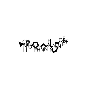 CC1(NC(=O)O[C@@H]2CC[C@H](c3cc(Nc4nccc5nc(OC(F)(F)F)cn45)n[nH]3)[C@@H]2F)CC1